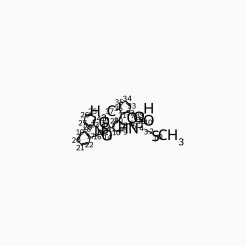 CSCC[C@H](NC(=O)c1ccc(S(=O)(=O)N(Cc2ccccc2)c2ccccc2)cc1-c1ccccc1C)C(=O)O